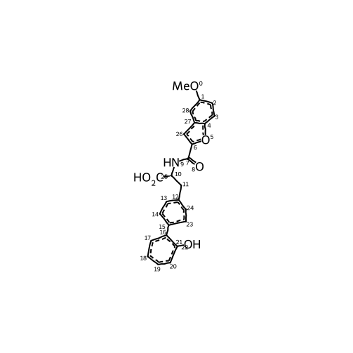 COc1ccc2oc(C(=O)N[C@@H](Cc3ccc(-c4ccccc4O)cc3)C(=O)O)cc2c1